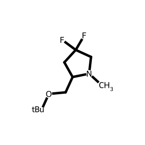 CN1CC(F)(F)CC1COC(C)(C)C